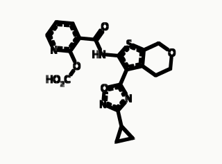 O=C(O)Oc1ncccc1C(=O)Nc1sc2c(c1-c1nc(C3CC3)no1)CCOC2